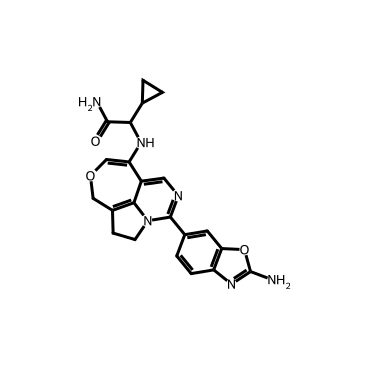 NC(=O)C(NC1=COCC2=C3C1=CN=C(c1ccc4nc(N)oc4c1)N3CC2)C1CC1